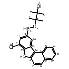 CC(C)(O)C(C)(C)OBc1cc(Cl)c2sc3ccc4ccccc4c3c2c1